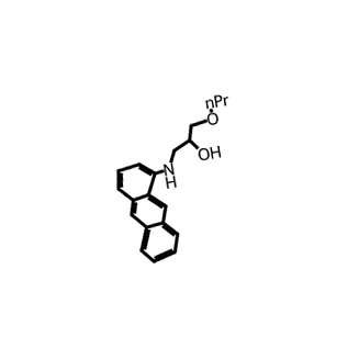 CCCOCC(O)CNc1cccc2cc3ccccc3cc12